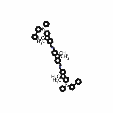 CC1(C)c2cc(/C=C/c3ccc4c(c3)C(C)(C)c3cc(N(c5ccccc5)c5cccc(-c6ccccc6)c5)ccc3-4)ccc2-c2ccc(/C=C/c3ccc4c(c3)C(C)(C)c3cc(N(c5ccccc5)c5cccc(-c6ccccc6)c5)ccc3-4)cc21